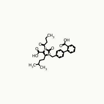 CCCC(=O)n1c(C(=O)O)c(CCC(C)C)n(Cc2ccc(-c3ccccc3C(=O)O)cc2)c1=O